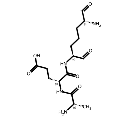 C[C@H](N)C(=O)N[C@H](CCC(=O)O)C(=O)N[C@H]([C]=O)CCC[C@@H](N)[C]=O